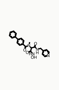 CN(C(=O)c1ccc(-c2ccccc2)cc1)C(C(=O)NO)C(=O)NCc1ccncc1